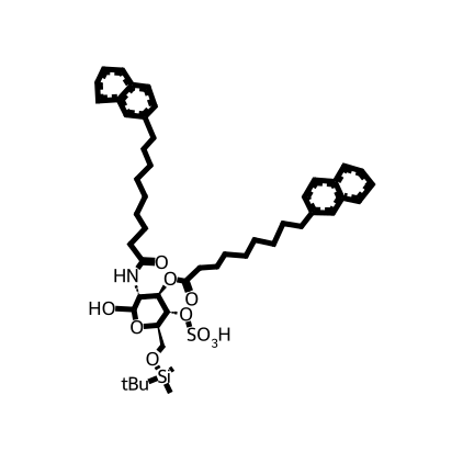 CC(C)(C)[Si](C)(C)OC[C@H]1OC(O)[C@H](NC(=O)CCCCCCCCc2ccc3ccccc3c2)[C@@H](OC(=O)CCCCCCCCc2ccc3ccccc3c2)[C@@H]1OS(=O)(=O)O